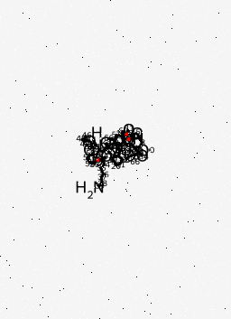 CO[C@H]1CC2OC[C@@]2(OC(C)=O)[C@@H]([C@H](OC(=O)c2ccccc2)[C@]2(O)C[C@H](OC(=O)[C@H](OC(=O)CCCCCN)[C@@H](NC(=O)OC(C)(C)C)c3ccccc3)C(C)=CC2(C)C)[C@]1(C)C(=O)[C@@H](C)OC